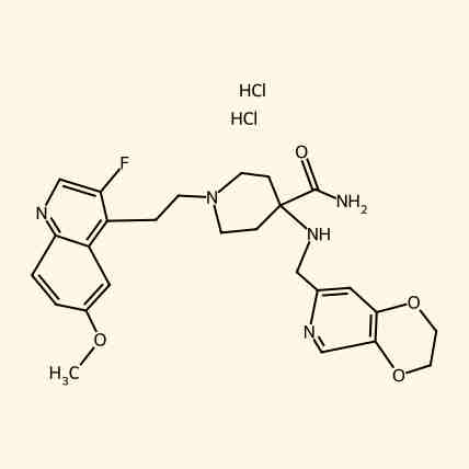 COc1ccc2ncc(F)c(CCN3CCC(NCc4cc5c(cn4)OCCO5)(C(N)=O)CC3)c2c1.Cl.Cl